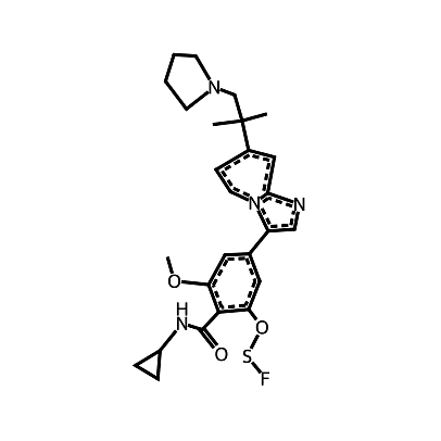 COc1cc(-c2cnc3cc(C(C)(C)CN4CCCC4)ccn23)cc(OSF)c1C(=O)NC1CC1